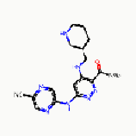 CNC(=O)c1nnc(Nc2cnc(C#N)cn2)cc1NC[C@@H]1CCCNC1